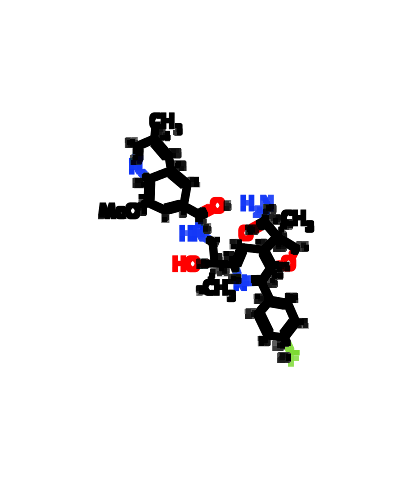 COc1cc(C(=O)NC[C@](C)(O)c2cc3c(c(-c4ccc(F)cc4)n2)OC[C@]3(C)C(N)=O)cc2cc(C)cnc12